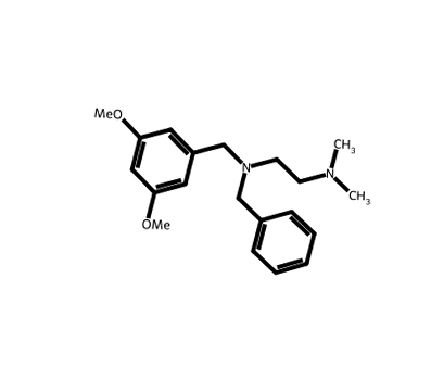 COc1cc(CN(CCN(C)C)Cc2ccccc2)cc(OC)c1